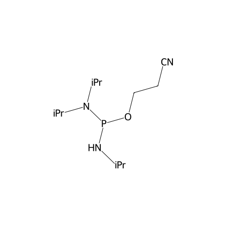 CC(C)NP(OCCC#N)N(C(C)C)C(C)C